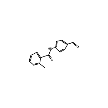 Cc1ccccc1C(=O)Nc1ccc(C=O)cc1